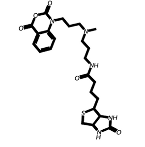 CN(CCCNC(=O)CCCC1SCC2NC(=O)NC21)CCCn1c(=O)oc(=O)c2ccccc21